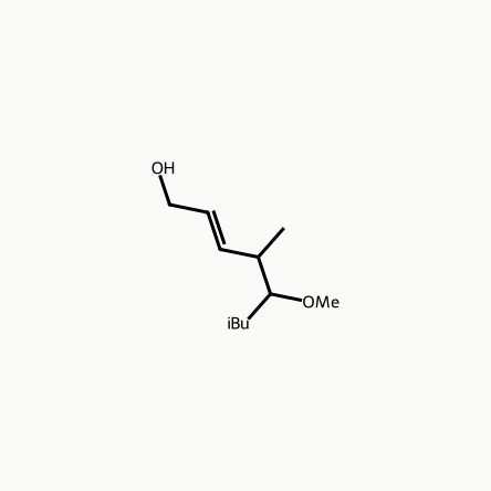 CCC(C)C(OC)C(C)C=CCO